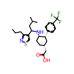 CCCc1nscc1C(CC(C)C)N[C@@H]1CC[C@@H](CC(=O)O)C[C@H]1c1ccc(C(F)(F)F)cc1